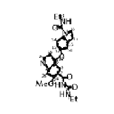 CCNC(=O)NC(=O)c1cc2c(Oc3ccc4c(ccn4C(=O)NCC)c3)ccnc2cc1OC